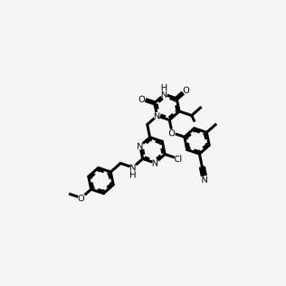 COc1ccc(CNc2nc(Cl)cc(Cn3c(Oc4cc(C)cc(C#N)c4)c(C(C)C)c(=O)[nH]c3=O)n2)cc1